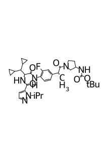 CC(C)n1nccc1C(=O)N[C@H](C(=O)Nc1ccc([C@H](C)C(=O)N2CCC(NC(=O)OC(C)(C)C)C2)cc1F)C(C1CC1)C1CC1